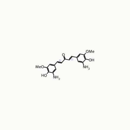 COc1cc(/C=C/C(=O)/C=C/c2cc(N)c(O)c(OC)c2)cc(N)c1O